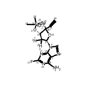 [2H]C1([2H])[C@H](n2cnc3c(N)nc(F)nc32)O[C@](C#C)(C(=O)O)[C@H]1O[Si](C)(C)C(C)(C)C